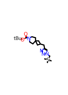 CC(C)(C)OC(=O)N1CCC2(CC1)CC(Cc1cn(C[Si](C)(C)C)nn1)C2